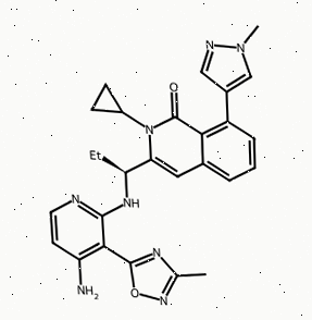 CC[C@H](Nc1nccc(N)c1-c1nc(C)no1)c1cc2cccc(-c3cnn(C)c3)c2c(=O)n1C1CC1